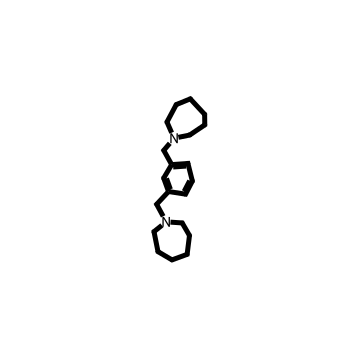 c1cc(CN2CCCCCC2)cc(CN2CCCCCC2)c1